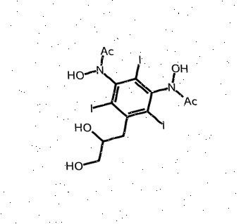 CC(=O)N(O)c1c(I)c(CC(O)CO)c(I)c(N(O)C(C)=O)c1I